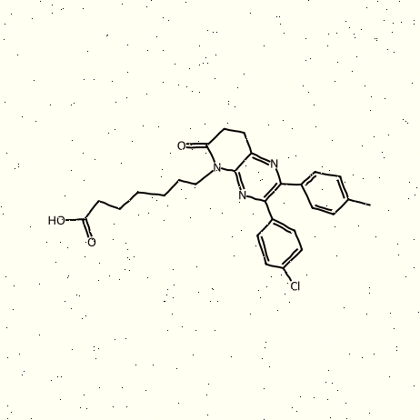 Cc1ccc(-c2nc3c(nc2-c2ccc(Cl)cc2)N(CCCCCCC(=O)O)C(=O)CC3)cc1